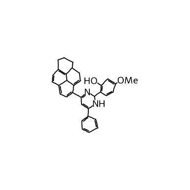 COc1ccc(C2N=C(C3=CC=C4C=CC5=C6C(CC=C3C46)CCC5)C=C(c3ccccc3)N2)c(O)c1